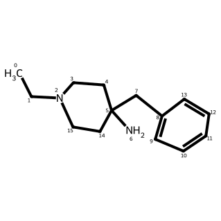 CCN1CCC(N)(Cc2ccccc2)CC1